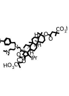 CC(C)C1=C2[C@H]3CC[C@H]4C(C)(CC[C@H]5C(C)(C)[C@@H](OC(=O)CC(C)(C)C(=O)O)CC[C@@]54C)[C@]3(C)CC[C@@]2([C@H](CN(CCN(C)C)Cc2ccc(Cl)cc2)OC(=O)CC(C)(C)C(=O)O)CC1=O